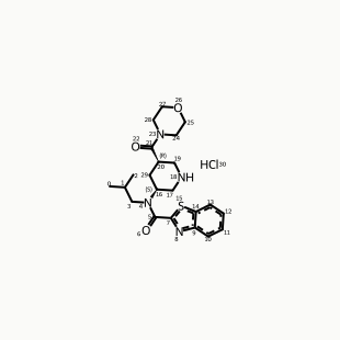 CC(C)CN(C(=O)c1nc2ccccc2s1)[C@@H]1CNC[C@H](C(=O)N2CCOCC2)C1.Cl